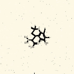 CCN(CC)C(C(N)=O)C1CC(C)(C)Oc2c(C)c(C)c(O)c(C)c21